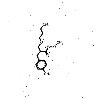 CCCCOCC(Cc1ccc(C)cc1)C(=O)NOC